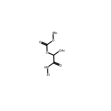 CCNC(=O)C(OC(C)=O)OC(=O)OC(C)(C)C